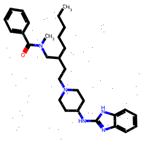 CCCCCC(CCN1CCC(Nc2nc3ccccc3[nH]2)CC1)CN(C)C(=O)c1ccccc1